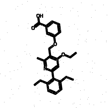 CCOc1cc(-c2c(CC)cccc2CC)nc(C)c1COc1cccc(C(=O)O)c1